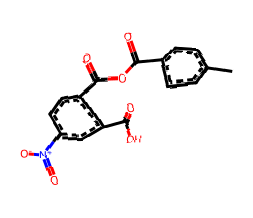 Cc1ccc(C(=O)OC(=O)c2ccc([N+](=O)[O-])cc2C(=O)O)cc1